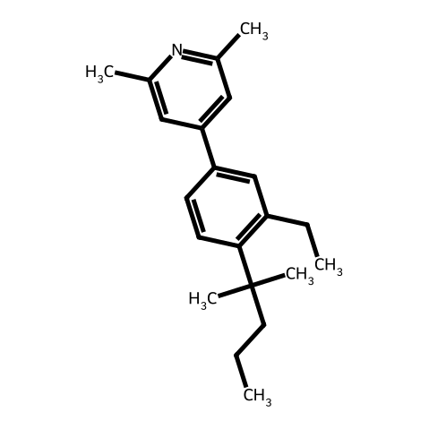 CCCC(C)(C)c1ccc(-c2cc(C)nc(C)c2)cc1CC